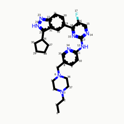 CCCN1CCN(Cc2ccc(Nc3ncc(F)c(-c4ccc5n[nH]c(C6CCCC6)c5c4)n3)nc2)CC1